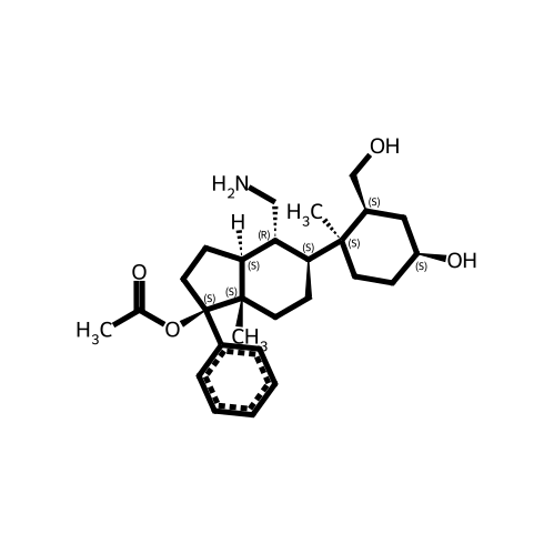 CC(=O)O[C@@]1(c2ccccc2)CC[C@H]2[C@H](CN)[C@@H]([C@]3(C)CC[C@H](O)C[C@@H]3CO)CC[C@@]21C